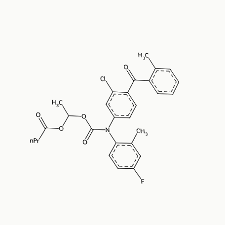 CCCC(=O)OC(C)OC(=O)N(c1ccc(C(=O)c2ccccc2C)c(Cl)c1)c1ccc(F)cc1C